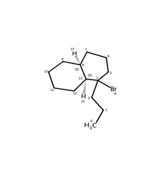 CCCC1(Br)CCC[C@@H]2CCCC[C@@H]21